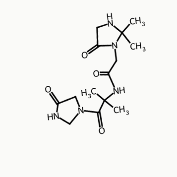 CC(C)(NC(=O)CN1C(=O)CNC1(C)C)C(=O)N1CNC(=O)C1